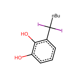 CCCCC(I)(I)c1cccc(O)c1O